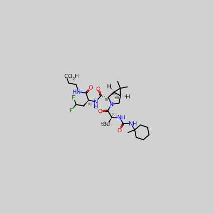 CC1(NC(=O)N[C@H](C(=O)N2C[C@H]3[C@@H]([C@H]2C(=O)N[C@@H](CC(F)F)C(=O)NCCC(=O)O)C3(C)C)C(C)(C)C)CCCCC1